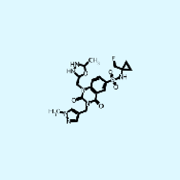 CC1NNC(Cn2c(=O)n(Cc3cnn(C)c3)c(=O)c3cc(S(=O)(=O)NC4(CF)CC4)ccc32)O1